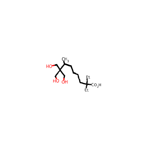 CCC(CC)(CCCCC(C)C(CO)(CO)CO)C(=O)O